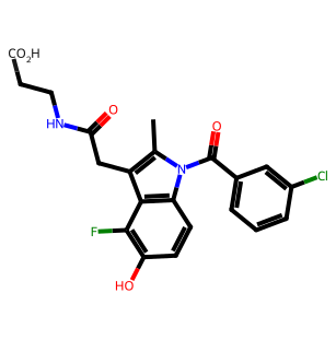 Cc1c(CC(=O)NCCC(=O)O)c2c(F)c(O)ccc2n1C(=O)c1cccc(Cl)c1